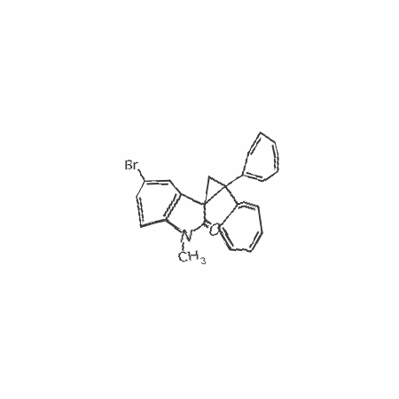 CN1C(=O)C2(CC2(c2ccccc2)c2ccccc2)c2cc(Br)ccc21